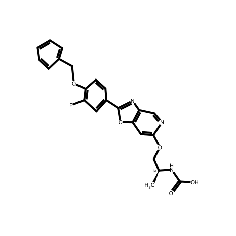 C[C@@H](COc1cc2oc(-c3ccc(OCc4ccccc4)c(F)c3)nc2cn1)NC(=O)O